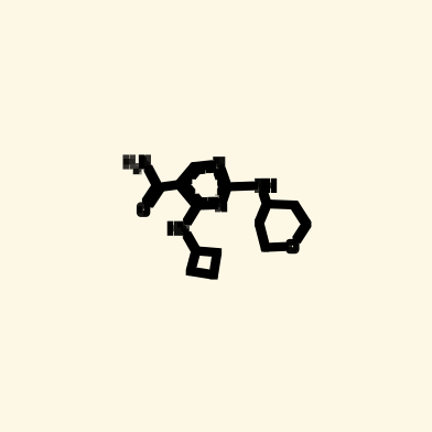 NC(=O)c1cnc(NC2CCOCC2)nc1NC1CCC1